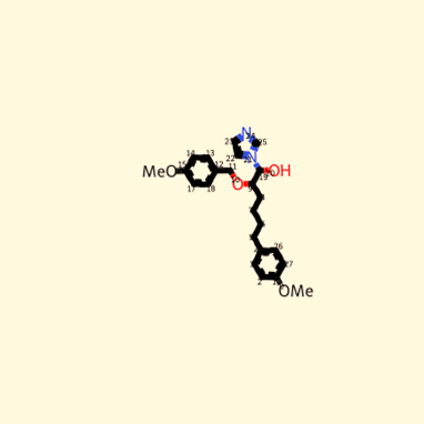 COc1ccc(CCCCC(OCc2ccc(OC)cc2)C(O)n2ccnc2)cc1